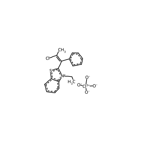 CC[n+]1c(C(=C(C)Cl)c2ccccc2)sc2ccccc21.[O-][Cl+3]([O-])([O-])[O-]